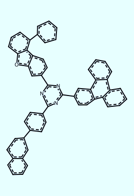 c1ccc(-c2cccc3oc4cc(-c5nc(-c6ccc(-c7ccc8ccccc8c7)cc6)nc(-c6ccc7c8ccccc8c8ccccc8c7c6)n5)ccc4c23)cc1